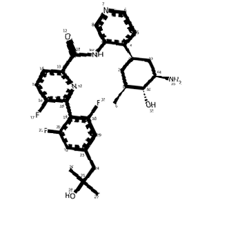 C[C@H]1C[C@@H](c2ccncc2NC(=O)c2ccc(F)c(-c3c(F)cc(CC(C)(C)O)cc3F)n2)C[C@@H](N)[C@@H]1O